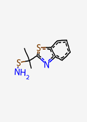 CC(C)(SN)c1nc2ccccc2s1